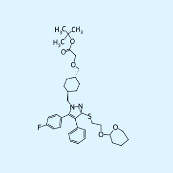 CC(C)(C)OC(=O)COC[C@H]1CC[C@H](Cn2nc(SCCOC3CCCCO3)c(-c3ccccc3)c2-c2ccc(F)cc2)CC1